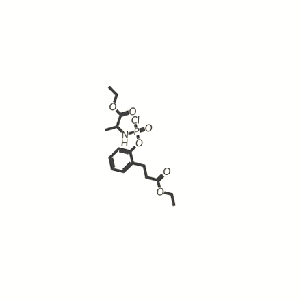 CCOC(=O)CCc1ccccc1OP(=O)(Cl)NC(C)C(=O)OCC